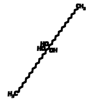 CCCCCCCCCCCCCCCCCCC(O)C(O)C(O)CCCCCCCCCCCCCCCCCC